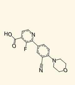 N#Cc1cc(-c2nccc(C(=O)O)c2F)ccc1N1CCOCC1